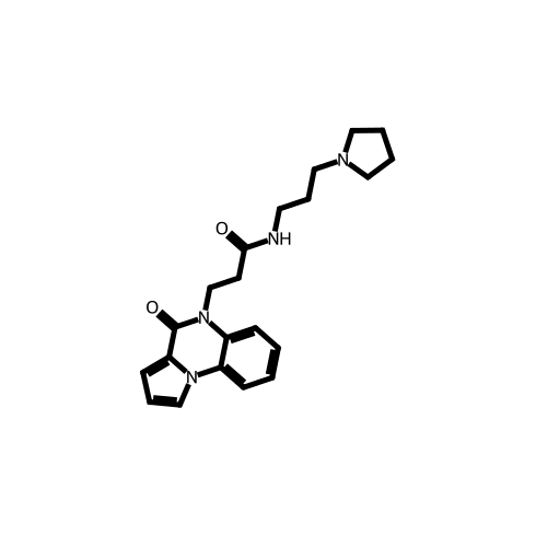 O=C(CCn1c(=O)c2cccn2c2ccccc21)NCCCN1CCCC1